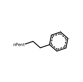 CCCCCCCc1c[c][c]cc1